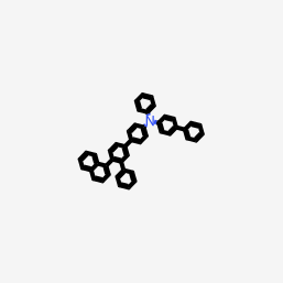 c1ccc(-c2ccc(N(c3ccccc3)c3ccc(-c4ccc(-c5cccc6ccccc56)c(-c5ccccc5)c4)cc3)cc2)cc1